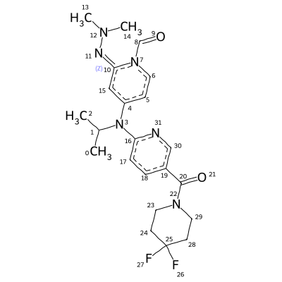 CC(C)N(c1ccn(C=O)/c(=N\N(C)C)c1)c1ccc(C(=O)N2CCC(F)(F)CC2)cn1